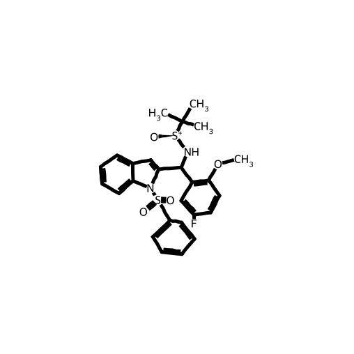 COc1ccc(F)cc1C(N[S@@+]([O-])C(C)(C)C)c1cc2ccccc2n1S(=O)(=O)c1ccccc1